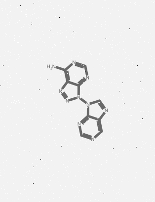 Nc1ncnc2c1nnn2-n1cnc2cncnc21